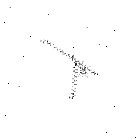 CCCCCCCCCCCCCCCCCC(=O)OCC(CNC(=O)C(CCC(=O)OCCCC)NC(=O)OC(C)(C)C)OC(=O)CCCCCCCCCCCCCCCCC